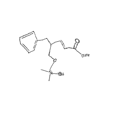 COC(=O)/C=C/C(CO[Si](C)(C)C(C)(C)C)Cc1ccccc1